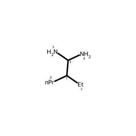 CCCC(CC)C(N)N